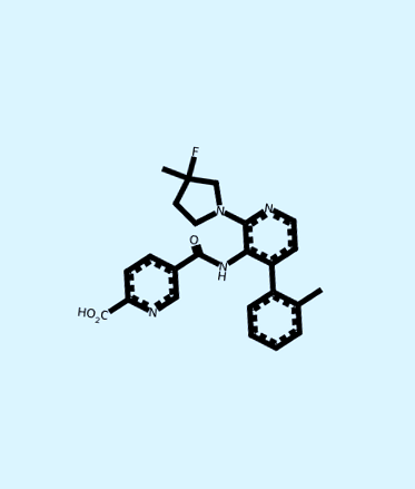 Cc1ccccc1-c1ccnc(N2CCC(C)(F)C2)c1NC(=O)c1ccc(C(=O)O)nc1